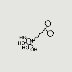 OCC1C(O)C(O)[C@@H](O)CN1CCCCCCN(C1CCCCC1)C1CCCCC1